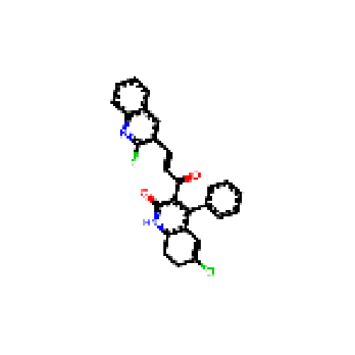 O=C(C=Cc1cc2ccccc2nc1Cl)c1c(-c2ccccc2)c2c([nH]c1=O)CCC(Cl)=C2